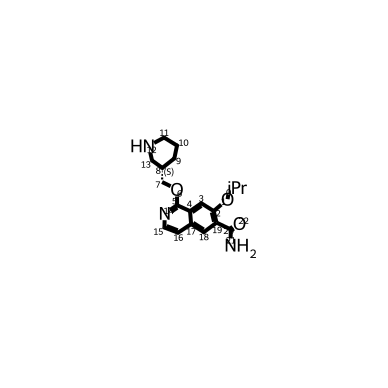 CC(C)Oc1cc2c(OC[C@H]3CCCNC3)nccc2cc1C(N)=O